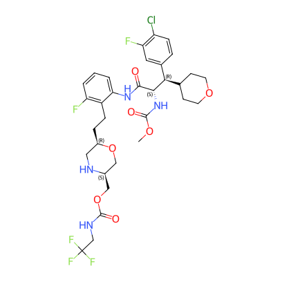 COC(=O)N[C@H](C(=O)Nc1cccc(F)c1CC[C@@H]1CN[C@H](COC(=O)NCC(F)(F)F)CO1)[C@@H](c1ccc(Cl)c(F)c1)C1CCOCC1